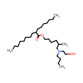 CCCCCCCCC(CCCCCCC)C(=O)OCCCCC(C)CN(CCO)CCCC